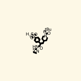 CC(C)(C)OC(=O)N1CCC(C=C(C(=O)Nc2nccs2)c2ccc(S(C)(=O)=O)cc2)CC1